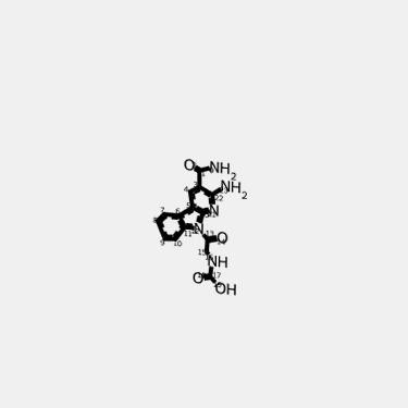 NC(=O)c1cc2c3ccccc3n(C(=O)CNC(=O)O)c2nc1N